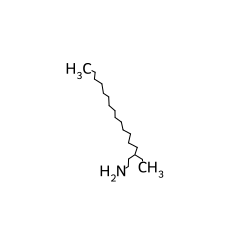 CCCCCCCCCCCCCCC(CC)CCN